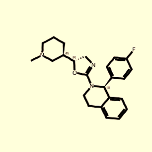 CN1CCC[C@@H]([C@@H]2CN=C(N3CCc4ccccc4[C@@H]3c3ccc(F)cc3)O2)C1